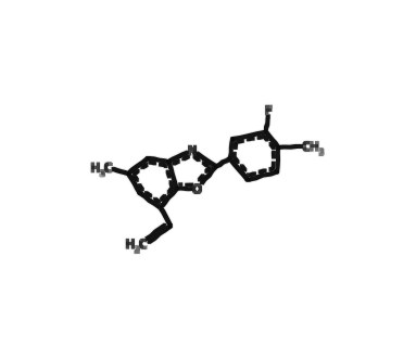 C=Cc1cc(C)cc2nc(-c3ccc(C)c(F)c3)oc12